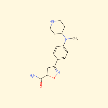 CN(c1ccc(C2=NOC(C(N)=O)C2)cc1)C1CCNCC1